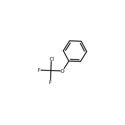 FC(F)(Cl)Oc1[c]cccc1